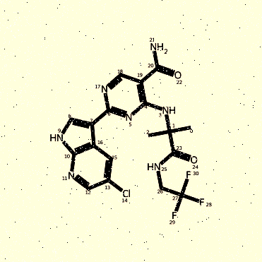 CC(C)(Nc1nc(-c2c[nH]c3ncc(Cl)cc23)ncc1C(N)=O)C(=O)NCC(F)(F)F